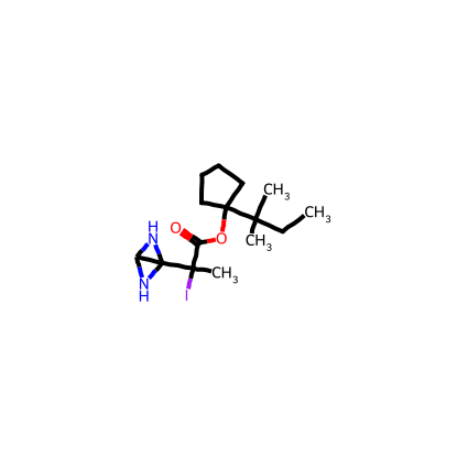 CCC(C)(C)C1(OC(=O)C(C)(I)C23NC2N3)CCCC1